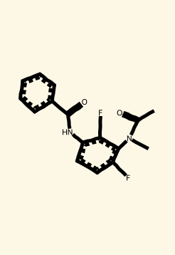 CC(=O)N(C)c1c(F)ccc(NC(=O)c2ccccc2)c1F